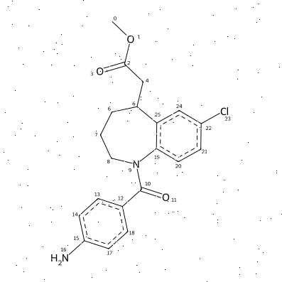 COC(=O)CC1CCCN(C(=O)c2ccc(N)cc2)c2ccc(Cl)cc21